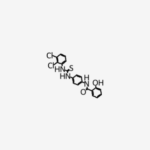 O=C(Nc1ccc(NC(=S)Nc2cccc(Cl)c2Cl)cc1)c1ccccc1O